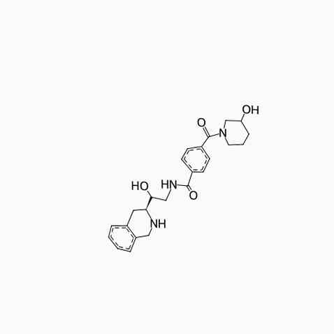 O=C(NCC(O)[C@@H]1Cc2ccccc2CN1)c1ccc(C(=O)N2CCCC(O)C2)cc1